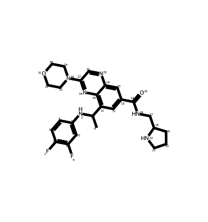 CC(Nc1ccc(F)c(F)c1)c1cc(C(=O)NCC2CCCN2)cc2ncc(N3CCOCC3)nc12